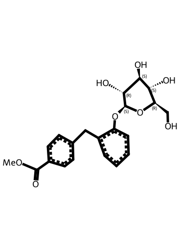 COC(=O)c1ccc(Cc2ccccc2O[C@@H]2O[C@H](CO)[C@@H](O)[C@H](O)[C@H]2O)cc1